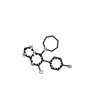 Clc1nc2ncnn2c(N2CCCCCC2)c1-c1ccc(Br)cc1